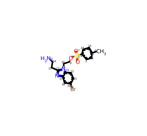 Cc1ccc(S(=O)(=O)OCCn2c(CCN)nc3cc(Br)ccc32)cc1